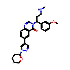 CNCCC(c1cccc(OC)c1)n1cnc2ccc(-c3cnn(C4CCCCO4)c3)cc2c1=O